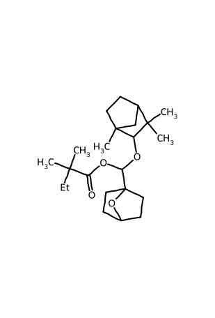 CCC(C)(C)C(=O)OC(OC1C2(C)CCC(C2)C1(C)C)C12CCC(CC1)O2